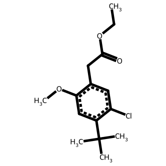 CCOC(=O)Cc1cc(Cl)c(C(C)(C)C)cc1OC